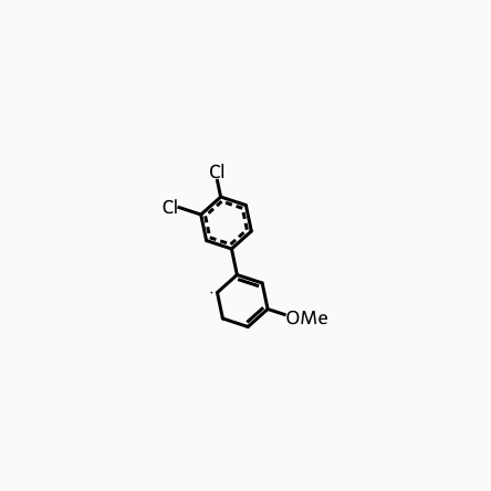 COC1=CC[CH]C(c2ccc(Cl)c(Cl)c2)=C1